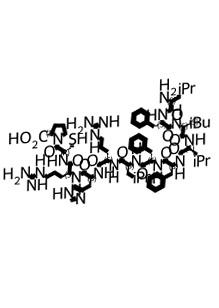 CC[C@H](C)[C@H](NC(=O)[C@H](Cc1ccccc1)NC(=O)[C@@H](N)CC(C)C)C(=O)N[C@@H](CC(C)C)C(=O)N[C@@H](Cc1ccccc1)C(=O)N[C@@H](Cc1ccccc1)C(=O)N[C@@H](CC(C)C)C(=O)N[C@@H](CCCNC(=N)N)C(=O)N[C@@H](Cc1c[nH]cn1)C(=O)N[C@@H](CCCNC(=N)N)C(=O)N[C@@H](CS)C(=O)N1CCC[C@H]1C(=O)O